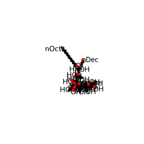 CCCCCCCC/C=C\CCCCCCCCCCCCCC(=O)N[C@@H](CO[C@@H]1OC(CO)[C@@H](O[C@@H]2OC(CO)[C@H](O[C@@H]3OC(CO)[C@H](O)[C@H](O)C3NC(C)=O)[C@H](O[C@H]3OC(CO)[C@H](O)[C@H](O[C@@H]4OC(CO)[C@@H](O[C@@H]5OC(CO)[C@H](O)[C@H](O)C5O)[C@H](O)C4NC(C)=O)C3O)C2O)[C@H](O)C1O)[C@H](O)/C=C/CCCCCCCCCCCCC